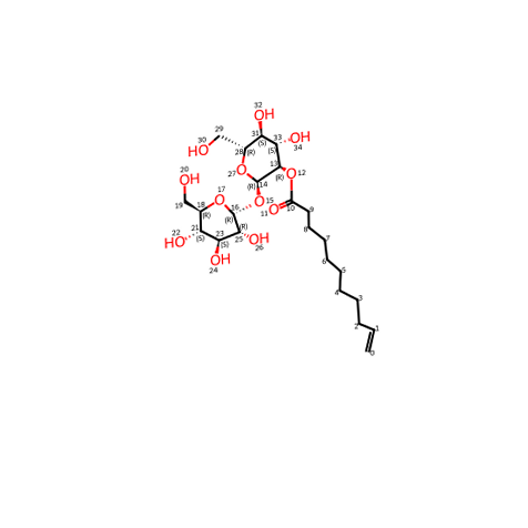 C=CCCCCCCCCC(=O)O[C@H]1[C@@H](O[C@H]2O[C@H](CO)[C@@H](O)[C@H](O)[C@H]2O)O[C@H](CO)[C@@H](O)[C@@H]1O